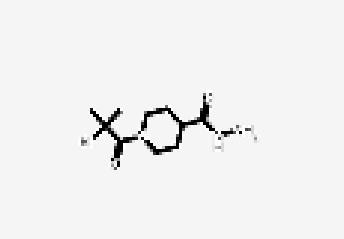 CCC(C)(C)C(=O)N1CCC(C(=O)NN)CC1